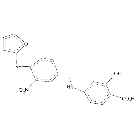 O=C(O)c1ccc(NCc2ccc(Sc3ccco3)c([N+](=O)[O-])c2)cc1O